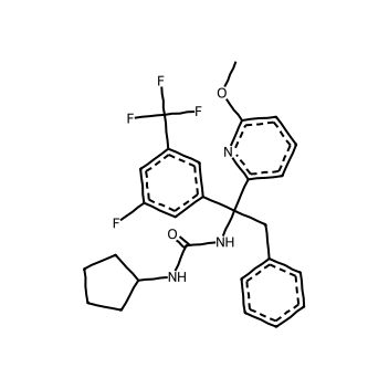 COc1cccc(C(Cc2ccccc2)(NC(=O)NC2CCCC2)c2cc(F)cc(C(F)(F)F)c2)n1